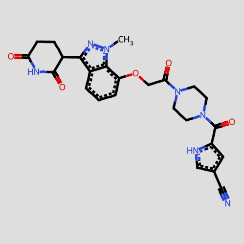 Cn1nc(C2CCC(=O)NC2=O)c2cccc(OCC(=O)N3CCN(C(=O)c4cc(C#N)c[nH]4)CC3)c21